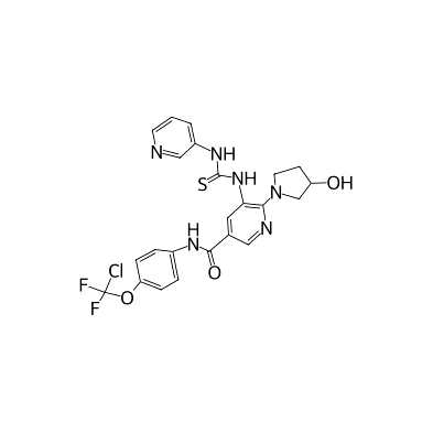 O=C(Nc1ccc(OC(F)(F)Cl)cc1)c1cnc(N2CCC(O)C2)c(NC(=S)Nc2cccnc2)c1